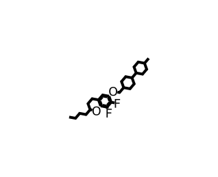 CCCCC1CCc2cc(OCC3CCC(C4CCC(C)CC4)CC3)c(F)c(F)c2O1